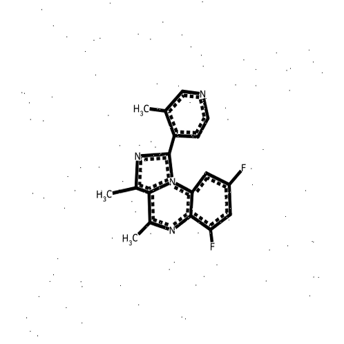 Cc1cnccc1-c1nc(C)c2c(C)nc3c(F)cc(F)cc3n12